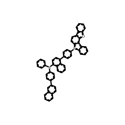 c1ccc(N(c2ccc(-c3ccc4ccccc4c3)cc2)c2ccc(-c3ccc(-n4c5ccccc5c5c6oc7ccccc7c6ccc54)cc3)c3ccccc23)cc1